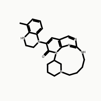 Cc1cccc2c1NCCN2c1cc2cnc3nc2n(c1=O)C1CCCN(CCCCN3)C1